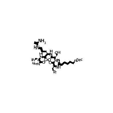 C=C(N)NCCC[C@H](NC(=O)[C@H](CO)NC(=O)[C@H](CC(C)C)NC(=O)CCCCCCCCCCCCCCC)C(=O)N[C@@H](CC(C)C)C(=O)NC